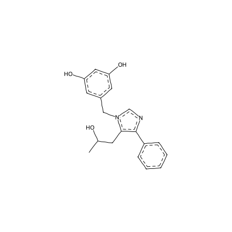 CC(O)Cc1c(-c2ccccc2)ncn1Cc1cc(O)cc(O)c1